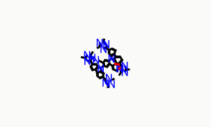 Cc1nc(C)nc(-c2ccc3c4ccc(-c5nc(C)nc(C)n5)cc4n(-c4cc(-c5ccncc5)c(-n5c6cc(-c7nc(C)nc(C)n7)ccc6c6ccc(-c7nc(C)nc(C)n7)cc65)cc4C#N)c3c2)n1